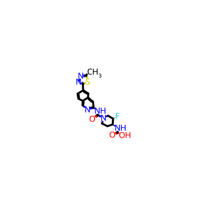 Cc1nnc(-c2ccc3cnc(NC(=O)N4CC[C@H](NC(=O)O)[C@@H](F)C4)cc3c2)s1